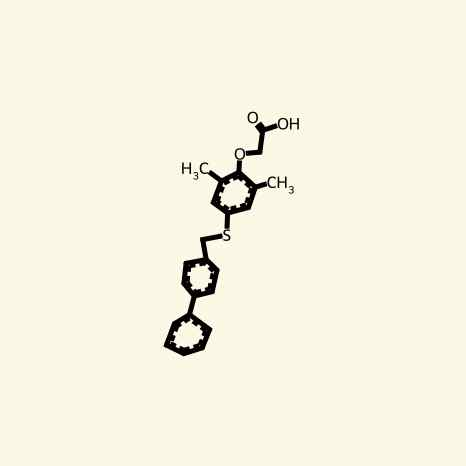 Cc1cc(SCc2ccc(-c3ccccc3)cc2)cc(C)c1OCC(=O)O